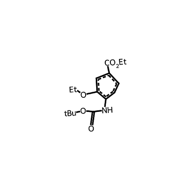 CCOC(=O)c1ccc(NC(=O)OC(C)(C)C)c(OCC)c1